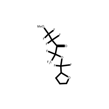 COC(F)(F)C(F)(F)C(=O)C(F)(OC(F)(F)C1CCCO1)C(F)(F)F